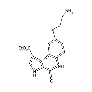 CCOC(=O)c1c[nH]c2c(=O)[nH]c3ccc(SCCN)cc3c12